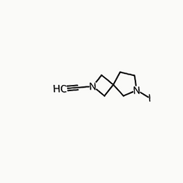 C#CN1CC2(CCN(I)C2)C1